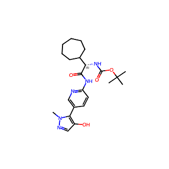 Cn1ncc(O)c1-c1ccc(NC(=O)[C@@H](NC(=O)OC(C)(C)C)C2CCCCCC2)nc1